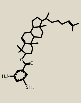 CC(C)=CCCCC(C)C1CCC2C3CC=C4C(C)(C)C(OC(=O)c5cc(N)cc([SiH3])c5)CCC4(C)C3CCC12C